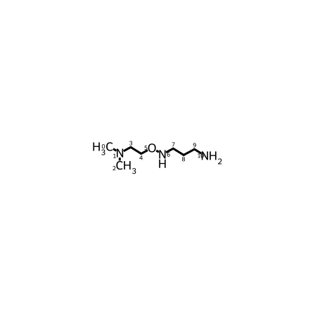 CN(C)CCONCCCN